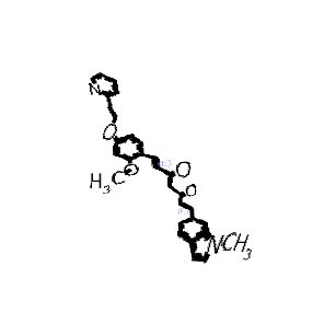 COc1cc(OCCc2ccccn2)ccc1/C=C/C(=O)CC(=O)/C=C/c1ccc2ccn(C)c2c1